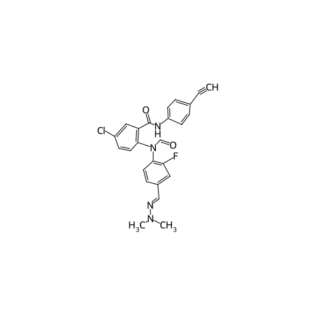 C#Cc1ccc(NC(=O)c2cc(Cl)ccc2N(C=O)c2ccc(C=NN(C)C)cc2F)cc1